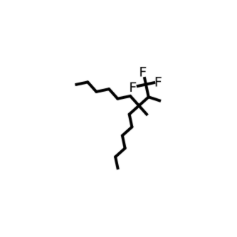 CCCCCCC(C)(CCCCCC)C(C)C(F)(F)F